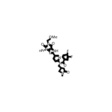 CCCn1c(=O)n(CCOC)c(=O)c2[nH]c(-c3ccc(N(CC4CC(=O)N(C)C4)C(=O)c4ccc(F)c(F)c4)nc3)nc21